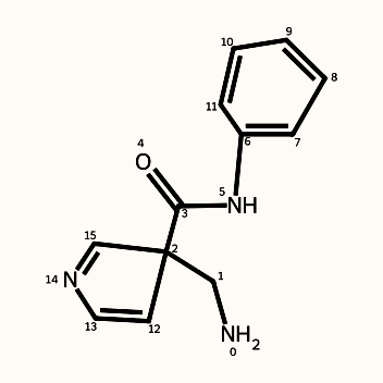 NCC1(C(=O)Nc2ccccc2)C=CN=C1